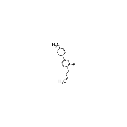 C=CCCc1ccc(C2C=CC(C)CC2)cc1F